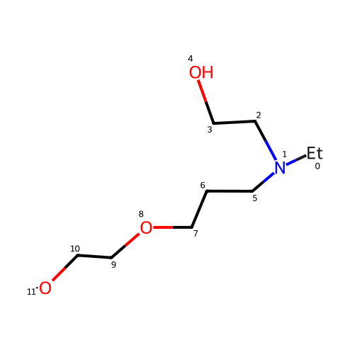 CCN(CCO)CCCOCC[O]